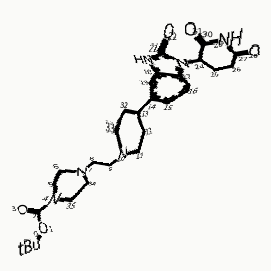 CC(C)(C)OC(=O)N1CCN(CCN2CCC(c3ccc4c(c3)[nH]c(=O)n4C3CCC(=O)NC3=O)CC2)CC1